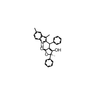 Cc1ccc2[nH]c(C(C3=C(O)[C@@](C)(c4ccccc4)OC3=O)c3ccccc3)c(C)c2c1